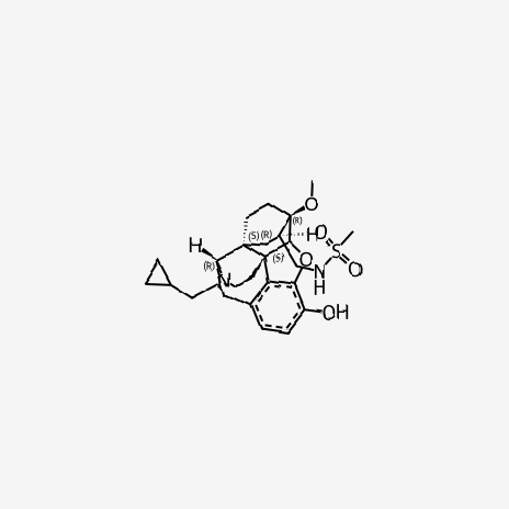 CO[C@]12CC[C@@]3(C[C@@H]1CNS(C)(=O)=O)[C@H]1Cc4ccc(O)c5c4[C@@]3(CCN1CC1CC1)C2O5